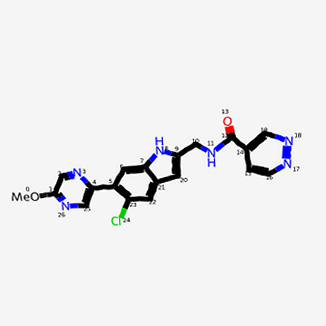 COc1cnc(-c2cc3[nH]c(CNC(=O)c4ccnnc4)cc3cc2Cl)cn1